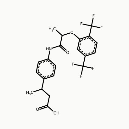 CC(Oc1cc(C(F)(F)F)ccc1C(F)(F)F)C(=O)Nc1ccc(C(C)CC(=O)O)cc1